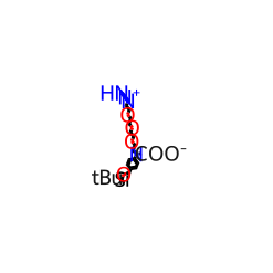 CC(C)(C)[Si](C)(C)OCc1ccc(N(CCOCCOCCOCCN=[N+]=N)C(=O)[O-])cc1